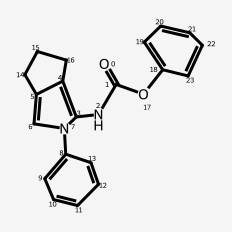 O=C(Nc1c2c(cn1-c1ccccc1)CCC2)Oc1ccccc1